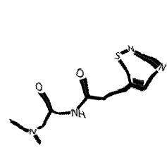 CN(C)C(=O)NC(=O)Cc1cnns1